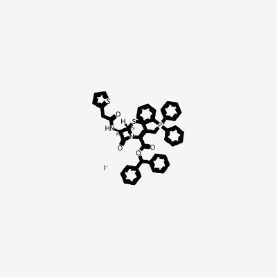 O=C(Cc1cccs1)N[C@@H]1C(=O)N2C(C(=O)OC(c3ccccc3)c3ccccc3)=C(C[P+](c3ccccc3)(c3ccccc3)c3ccccc3)CS[C@@H]12.[I-]